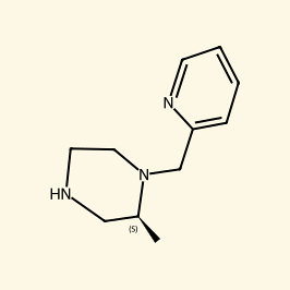 C[C@H]1CNCCN1Cc1ccccn1